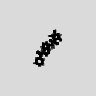 Cc1nn(C)c(C)c1S(=O)(=O)Nc1cccc2c(C(=O)N3CCCCC3)cnn12